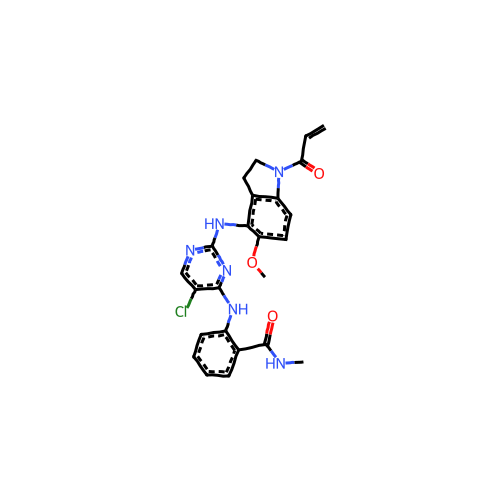 C=CC(=O)N1CCc2c1ccc(OC)c2Nc1ncc(Cl)c(Nc2ccccc2C(=O)NC)n1